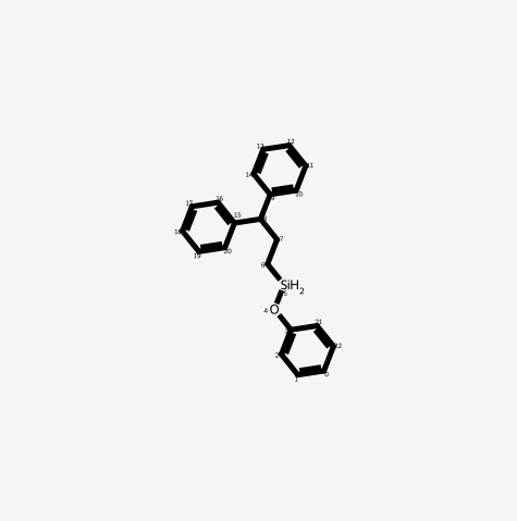 c1ccc(O[SiH2]CCC(c2ccccc2)c2ccccc2)cc1